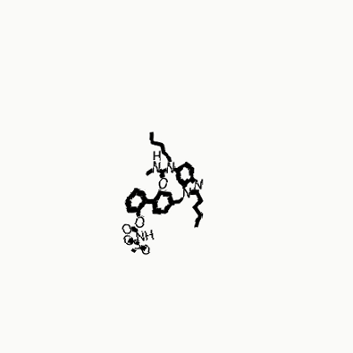 CCCCCN(C(=O)NC)c1ccc2nc(CCCC)n(Cc3ccc(-c4ccccc4OC(=O)NS(C)(=O)=O)cc3)c2c1